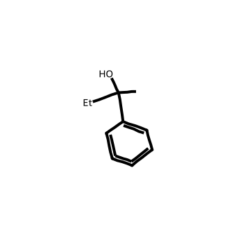 CCC(C)(O)C1=CC=C=C=C1